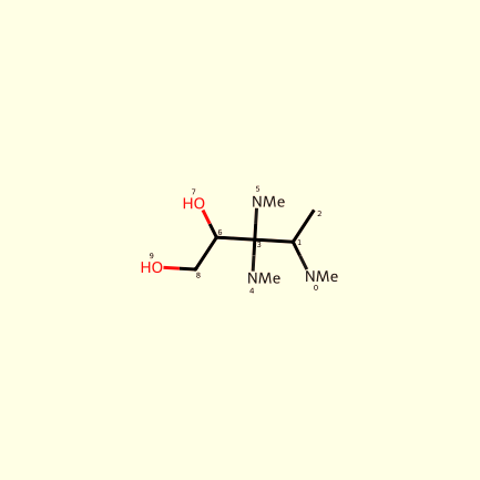 CNC(C)C(NC)(NC)C(O)CO